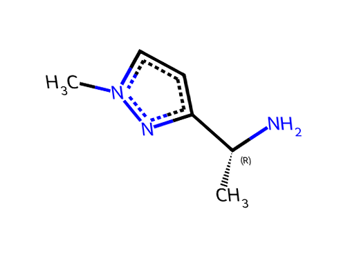 C[C@@H](N)c1ccn(C)n1